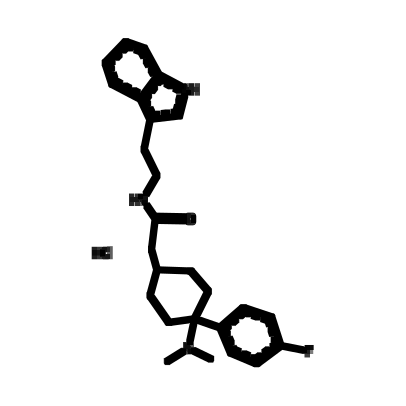 CN(C)C1(c2ccc(F)cc2)CCC(CC(=O)NCCc2c[nH]c3ccccc23)CC1.Cl